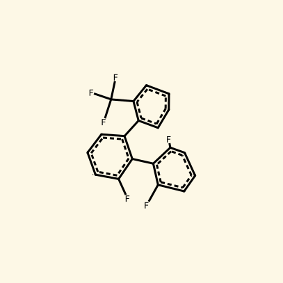 Fc1[c]ccc(-c2ccccc2C(F)(F)F)c1-c1c(F)cccc1F